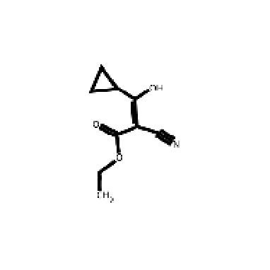 CCOC(=O)C(C#N)=C(O)C1CC1